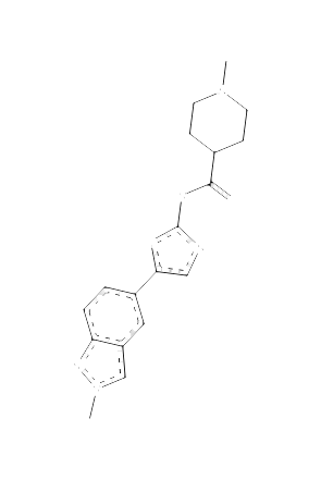 CN1CCC(C(=O)Nc2ncc(-c3ccc4nn(C)cc4c3)s2)CC1